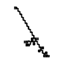 CCC=CCC=CCC=CCC=CCC=CCC=CCCC(=O)NC(CCCCNC(=O)C=CC(=O)OC)C(=O)OC(CO)CO